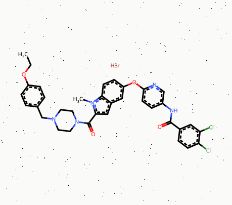 Br.CCOc1ccc(CN2CCN(C(=O)c3cc4cc(Oc5ccc(NC(=O)c6ccc(Cl)c(Cl)c6)cn5)ccc4n3C)CC2)cc1